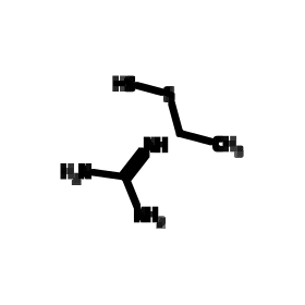 CCSS.N=C(N)N